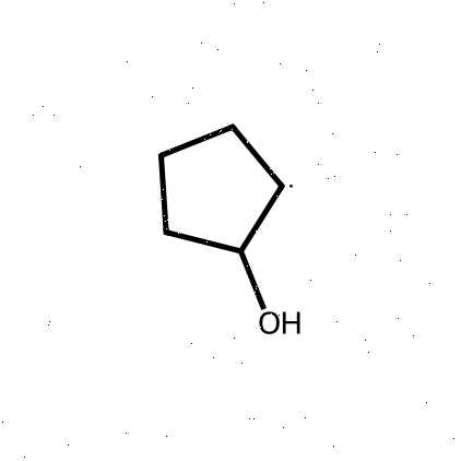 OC1[CH]CCC1